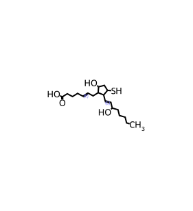 CCCCCC(O)/C=C/C1C(S)CC(O)C1C/C=C/CCCC(=O)O